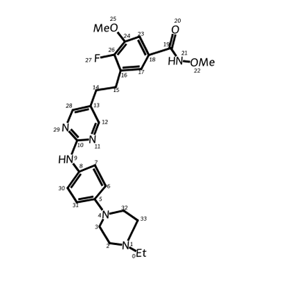 CCN1CCN(c2ccc(Nc3ncc(CCc4cc(C(=O)NOC)cc(OC)c4F)cn3)cc2)CC1